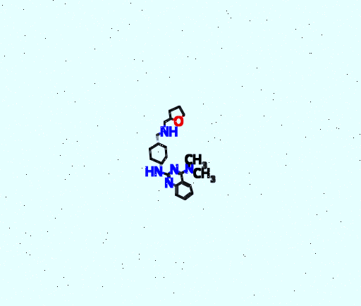 CN(C)c1nc(N[C@H]2CC[C@@H](CNCC3CCCO3)CC2)nc2ccccc12